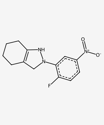 O=[N+]([O-])c1ccc(F)c(N2CC3=C(CCCC3)N2)c1